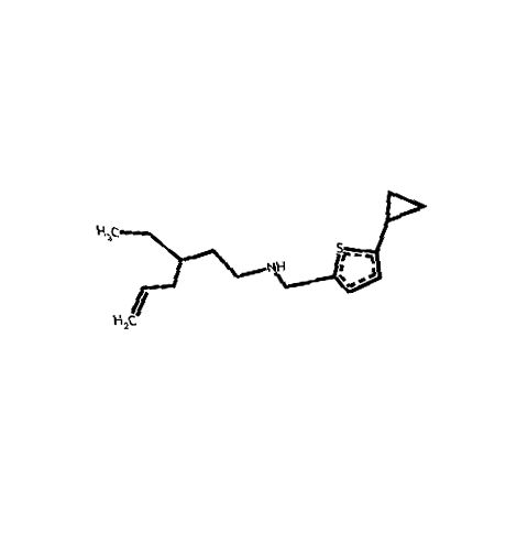 C=CCC(CC)CCNCc1ccc(C2CC2)s1